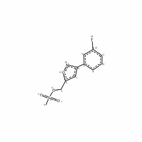 CS(=O)(=O)OCc1cc(-c2cccc(F)c2)no1